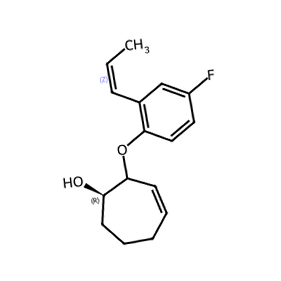 C/C=C\c1cc(F)ccc1OC1C=CCCC[C@H]1O